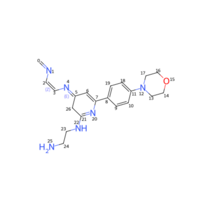 C=N/C=C\N=C1\C=C(c2ccc(N3CCOCC3)cc2)N=C(NCCN)C1